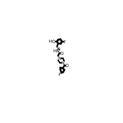 O=C(CN1CCN(C(=O)c2ccc(F)cc2)CC1)NN=Cc1cc(F)ccc1O